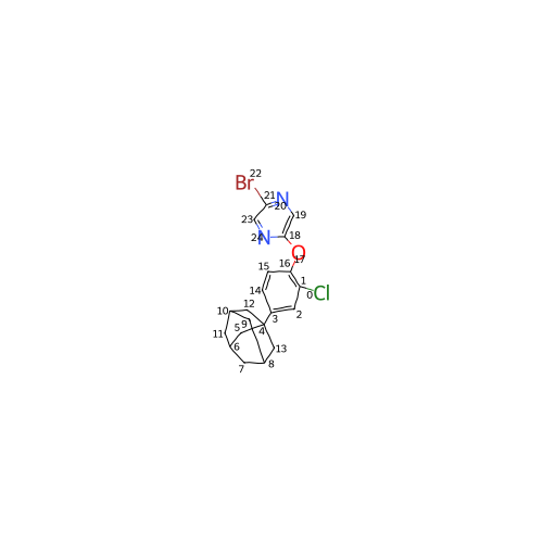 Clc1cc(C23CC4CC(CC(C4)C2)C3)ccc1Oc1cnc(Br)cn1